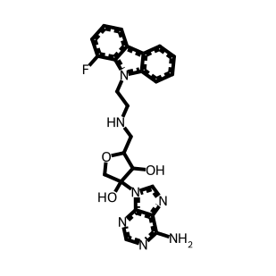 Nc1ncnc2c1ncn2C1(O)COC(CNCCn2c3ccccc3c3cccc(F)c32)C1O